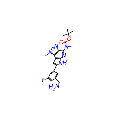 CN(C(=O)OC(C)(C)C)c1nc2[nH]c(-c3cc(F)cc(CN)c3)cc2c2c1ncn2C